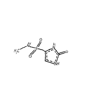 CNS(=O)(=O)c1c[nH]c(=O)[nH]1